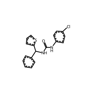 O=C(Nc1ccc(Cl)cc1)NC(c1ccccc1)c1cccs1